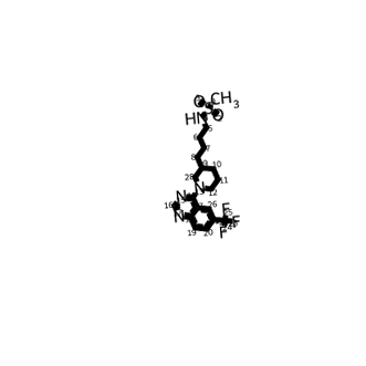 CS(=O)(=O)NCCCCC1CCCN(c2ncnc3ccc(C(F)(F)F)cc23)C1